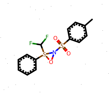 Cc1ccc(S(=O)(=O)N2OS2(c2ccccc2)C(F)F)cc1